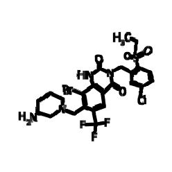 CCS(=O)(=O)c1ccc(Cl)cc1Cn1c(=O)[nH]c2c(Br)c(CN3CCCC(N)C3)c(C(F)(F)F)cc2c1=O